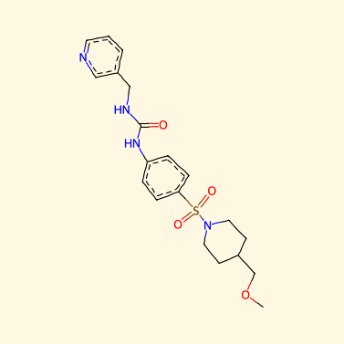 COCC1CCN(S(=O)(=O)c2ccc(NC(=O)NCc3cccnc3)cc2)CC1